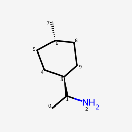 CC(N)[C@H]1CC[C@H](C)CC1